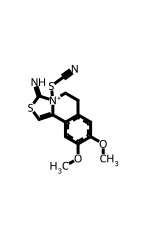 COc1cc2c(cc1OC)C1=CSC(=N)[N+]1(SC#N)CC2